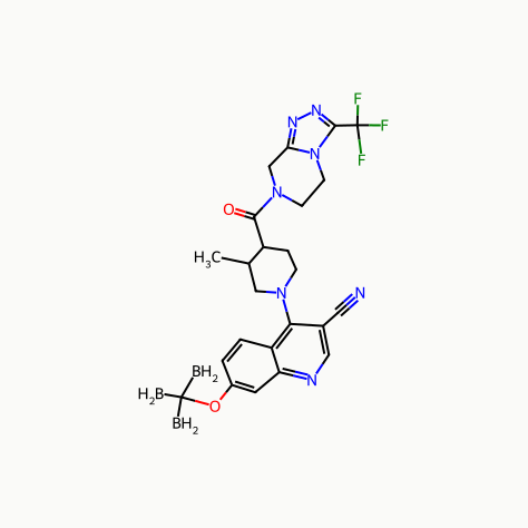 BC(B)(B)Oc1ccc2c(N3CCC(C(=O)N4CCn5c(nnc5C(F)(F)F)C4)C(C)C3)c(C#N)cnc2c1